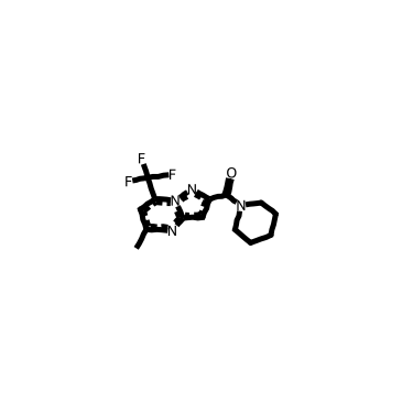 Cc1cc(C(F)(F)F)n2nc(C(=O)N3CCCCC3)cc2n1